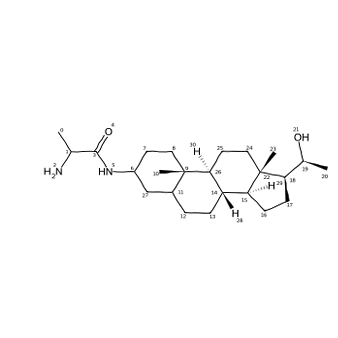 CC(N)C(=O)NC1CC[C@@]2(C)C(CC[C@H]3[C@@H]4CC[C@H]([C@H](C)O)[C@@]4(C)CC[C@@H]32)C1